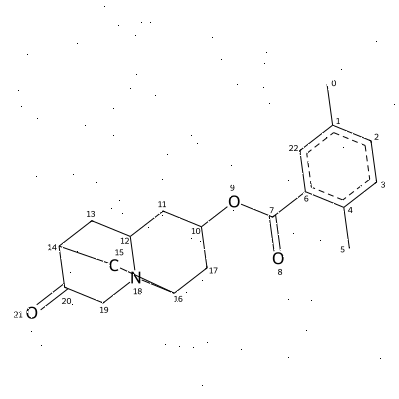 Cc1ccc(C)c(C(=O)OC2CC3CC4CC(C2)N3CC4=O)c1